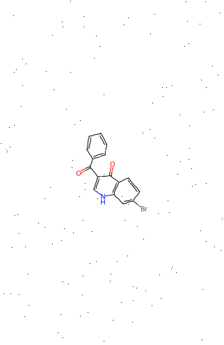 O=C(c1ccccc1)c1c[nH]c2cc(Br)ccc2c1=O